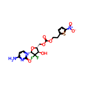 Nc1ccn([C@@H]2O[C@H](COC(=O)OCCc3ccc([N+](=O)[O-])s3)[C@@H](O)C2(F)F)c(=O)n1